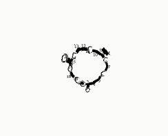 C=C.O=C1CCCCCCCCCCCC(=O)OCCO1